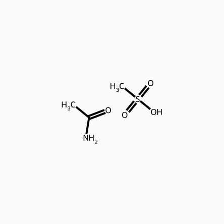 CC(N)=O.CS(=O)(=O)O